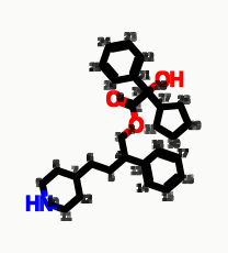 O=C(OCC(CCC1CCNCC1)c1ccccc1)C(O)(c1ccccc1)C1CCCC1